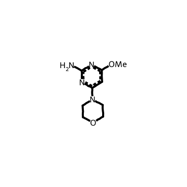 COc1cc(N2CCOCC2)nc(N)n1